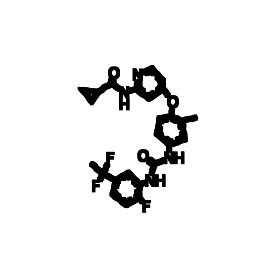 Cc1cc(NC(=O)Nc2cc(C(C)(F)F)ccc2F)ccc1Oc1ccnc(NC(=O)C2CC2)c1